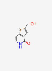 O=c1[nH]ccc2sc(CO)cc12